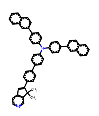 CC1(C)C(c2ccc(-c3ccc(N(c4ccc(-c5ccc6ccccc6c5)cc4)c4ccc(-c5ccc6ccccc6c5)cc4)cc3)cc2)=Cc2ccncc21